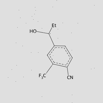 CC[C](O)c1ccc(C#N)c(C(F)(F)F)c1